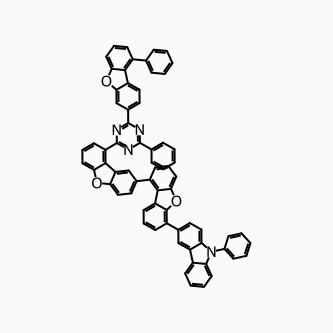 c1ccc(-c2nc(-c3ccc4c(c3)oc3cccc(-c5ccccc5)c34)nc(-c3cccc4oc5ccc(-c6cccc7oc8c(-c9ccc%10c(c9)c9ccccc9n%10-c9ccccc9)cccc8c67)cc5c34)n2)cc1